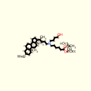 CCCCCCCCOC(CCCCCN(CCCCO)CCC[C@@H](C)C1CCC2C3CCC4C[C@H](OC)CC[C@]4(C)C3CC[C@@]21C)O[Si](C)(C)CCCCCCCC